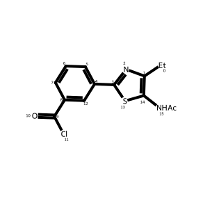 CCc1nc(-c2cccc(C(=O)Cl)c2)sc1NC(C)=O